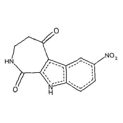 O=C1NCCC(=O)c2c1[nH]c1ccc([N+](=O)[O-])cc21